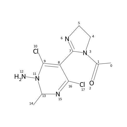 CC(=O)N1CCN=C1C1=C(Cl)N(N)C(C)N=C1Cl